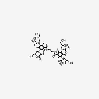 CC(=O)N(CC(O)CO)c1c(I)c(C(=O)NCCNC(=O)c2c(I)c(N(CC(O)CO)C(C)=O)c(I)c(N(CC(O)CO)C(C)=O)c2I)c(I)c(N(CC(O)CO)C(C)=O)c1I